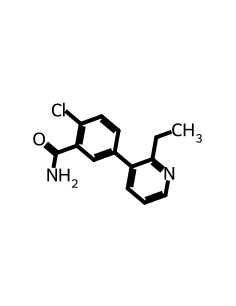 CCc1ncccc1-c1ccc(Cl)c(C(N)=O)c1